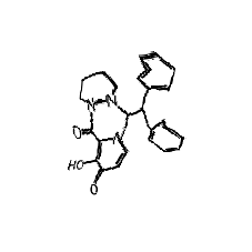 O=C1c2c(O)c(=O)ccn2C(C(c2ccccc2)c2ccccc2)N2CCCCN12